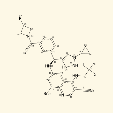 CC(C)(C)CNc1c(C#N)cnc2c(Br)cc(N[C@H](C3=CN(C4CC4)NN3)c3cccc(C(=O)N4CC(F)C4)c3)cc12